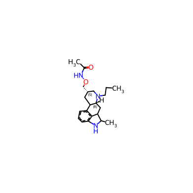 CCCN1C[C@@H](CONC(C)=O)CC2c3cccc4c3C(C[C@H]21)C(C)N4